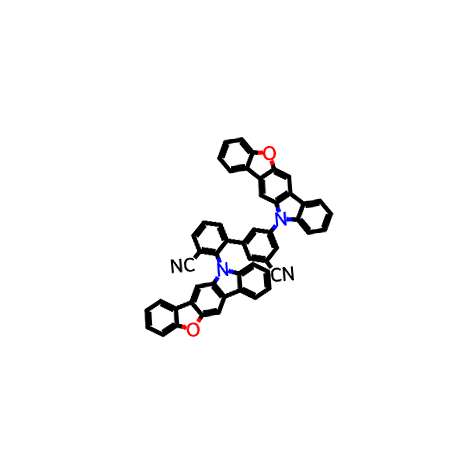 N#Cc1cc(-c2cccc(C#N)c2-n2c3ccccc3c3cc4oc5ccccc5c4cc32)cc(-n2c3ccccc3c3cc4oc5ccccc5c4cc32)c1